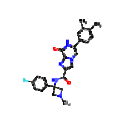 Cc1ccc(-c2cn3cc(C(=O)NC4(c5ccc(F)cc5)CN(C)C4)nc3c(=O)[nH]2)cc1C